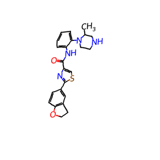 CC1CNCCN1c1ccccc1NC(=O)c1csc(-c2ccc3c(c2)CCO3)n1